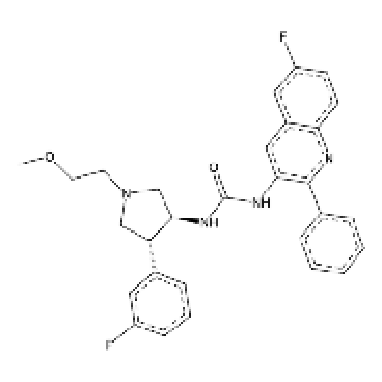 COCCN1C[C@@H](NC(=O)Nc2cc3cc(F)ccc3nc2-c2ccccc2)[C@H](c2cccc(F)c2)C1